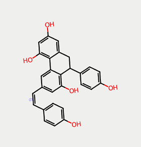 Oc1ccc(/C=C\c2cc(O)c3c(c2)-c2c(O)cc(O)cc2CC3c2ccc(O)cc2)cc1